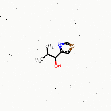 CC(C)C(O)c1cscn1